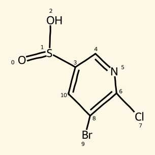 O=S(O)c1cnc(Cl)c(Br)c1